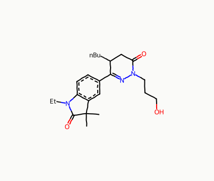 CCCCC1CC(=O)N(CCCO)N=C1c1ccc2c(c1)C(C)(C)C(=O)N2CC